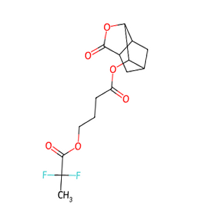 CC(F)(F)C(=O)OCCCC(=O)OC1C2CC3C(=O)OC1C3C2